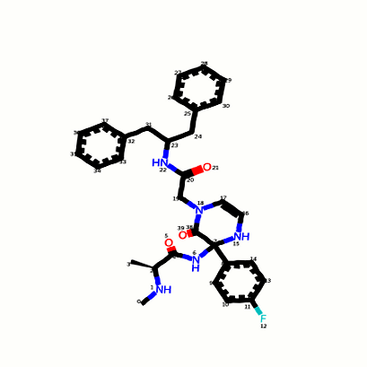 CN[C@@H](C)C(=O)NC1(c2ccc(F)cc2)NC=CN(CC(=O)NC(Cc2ccccc2)Cc2ccccc2)C1=O